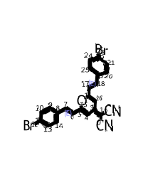 N#CC(C#N)=C1C=C(/C=C/c2ccc(Br)cc2)OC(/C=C/c2ccc(Br)cc2)=C1